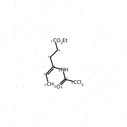 CC=C(CCC(=O)OCC)NC(=O)C(Cl)(Cl)Cl